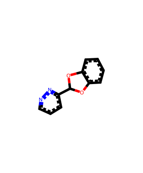 c1cnnc([C]2Oc3ccccc3O2)c1